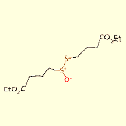 CCOC(=O)CCCS[S+]([O-])CCCC(=O)OCC